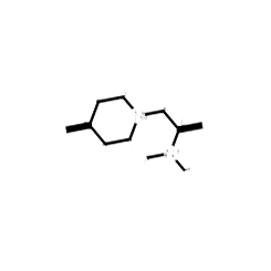 C=C1CCN(CC(=C)N(C)C)CC1